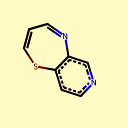 C1=CSc2ccncc2N=C1